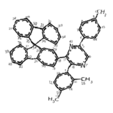 Cc1ccc(-c2cnc(-c3ccc(C)cc3C)c(-c3ccc4c(c3)C3(c5ccccc5-c5ccccc53)c3ccccc3-4)n2)cc1